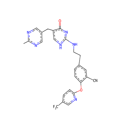 Cc1ncc(Cc2c[nH]c(NCCc3ccc(Oc4ccc(C(F)(F)F)cn4)c(C#N)c3)nc2=O)cn1